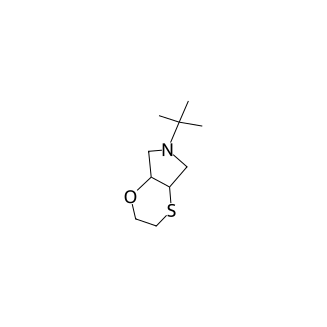 CC(C)(C)N1CC2OCCSC2C1